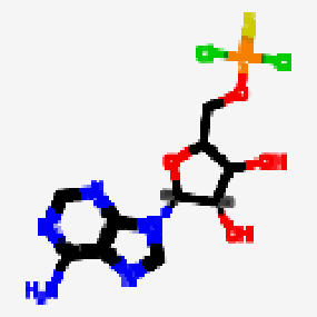 Nc1ncnc2c1ncn2[C@@H]1OC(COP(=S)(Cl)Cl)C(O)[C@@H]1O